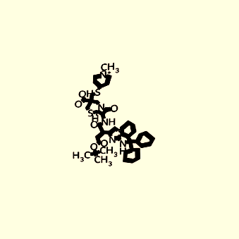 C[n+]1ccc(SCC2(C(=O)O)CS[C@@H]3C(NC(=O)C(=CC(=O)OC(C)(C)C)c4csc(NC(c5ccccc5)(c5ccccc5)c5ccccc5)n4)C(=O)N3C2)cc1